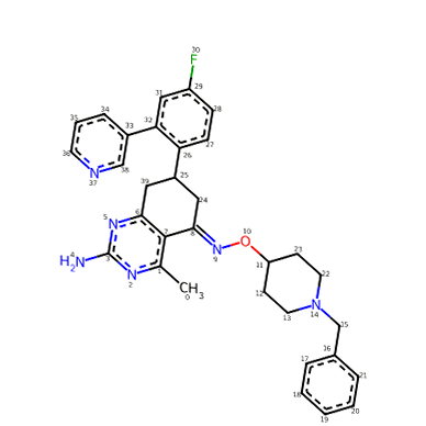 Cc1nc(N)nc2c1/C(=N/OC1CCN(Cc3ccccc3)CC1)CC(c1ccc(F)cc1-c1cccnc1)C2